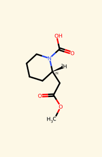 [2H][C@@]1(CC(=O)OC)CCCCN1C(=O)O